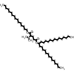 CCCCCCCCCCCCCCCCOC(=O)C(CCC(=O)OC(CCCCCCCCCCCCCC)CCCCCCCCCCCCCC)N(C)C